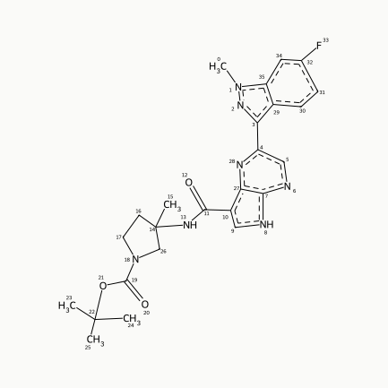 Cn1nc(-c2cnc3[nH]cc(C(=O)NC4(C)CCN(C(=O)OC(C)(C)C)C4)c3n2)c2ccc(F)cc21